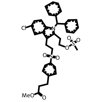 COC(=O)CCc1ccc(S(=O)(=O)CCc2c(CCOS(C)(=O)=O)n(C(c3ccccc3)c3ccccc3)c3ccc(Cl)cc23)cc1